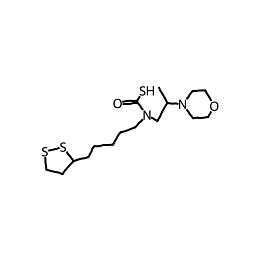 CC(CN(CCCCCC1CCSS1)C(=O)S)N1CCOCC1